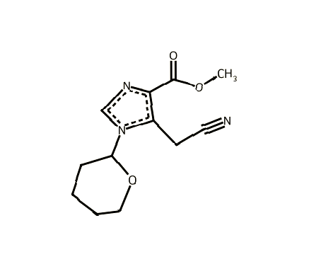 COC(=O)c1ncn(C2CCCCO2)c1CC#N